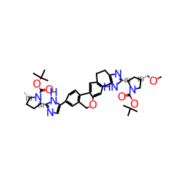 COC[C@H]1C[C@@H](c2nc3c([nH]2)-c2cc4c(cc2CC3)-c2ccc(-c3cnc([C@@H]5CC[C@H](C)N5C(=O)OC(C)(C)C)[nH]3)cc2CO4)N(C(=O)OC(C)(C)C)C1